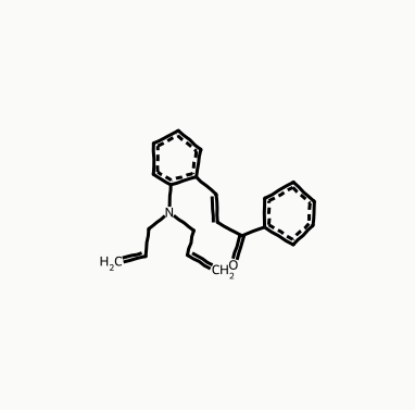 C=CCN(CC=C)c1ccccc1C=CC(=O)c1ccccc1